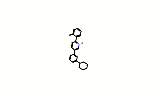 Cc1ccccc1-c1ccc(-c2cccc(C3CCCCC3)c2)c[n+]1C